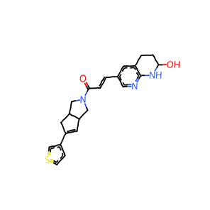 O=C(/C=C/c1cnc2c(c1)CCC(O)N2)N1CC2C=C(c3ccsc3)CC2C1